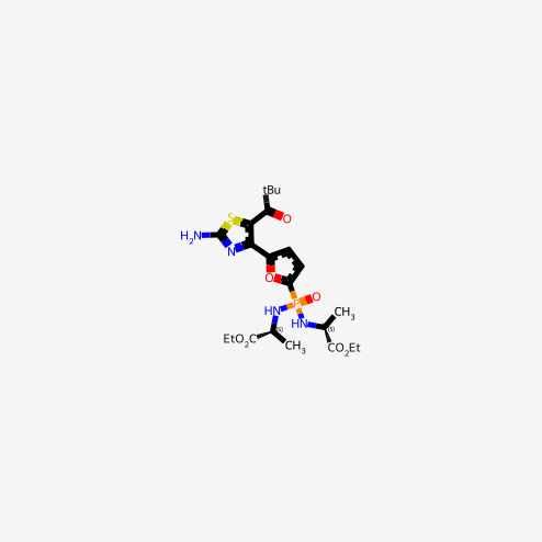 CCOC(=O)[C@H](C)NP(=O)(N[C@@H](C)C(=O)OCC)c1ccc(-c2nc(N)sc2C(=O)C(C)(C)C)o1